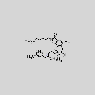 CC(C)=CCC/C(C)=C/CCC1(C)Oc2c(c(O)cc3c2CN(CCCCCC(=O)O)C3=O)CC1O